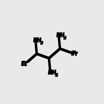 CCC(N)C(N)C(N)C(C)C